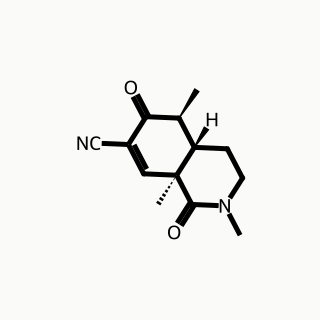 C[C@@H]1C(=O)C(C#N)=C[C@]2(C)C(=O)N(C)CC[C@@H]12